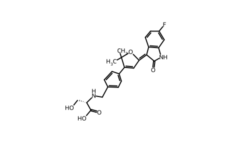 CC1(C)O/C(=C2/C(=O)Nc3cc(F)ccc32)C=C1c1ccc(CN[C@@H](CO)C(=O)O)cc1